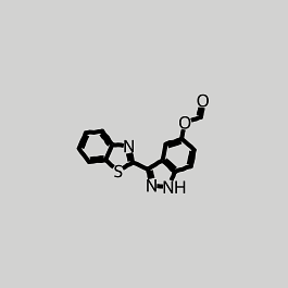 O=COc1ccc2[nH]nc(-c3nc4ccccc4s3)c2c1